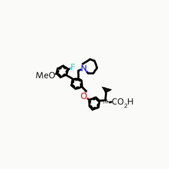 COc1ccc(F)c(-c2ccc(COc3cccc([C@@H](CC(=O)O)C4CC4)c3)cc2CN2CCCCCC2)c1